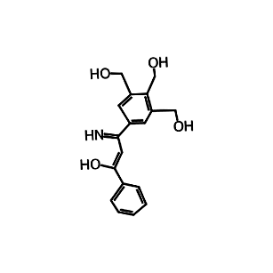 N=C(/C=C(\O)c1ccccc1)c1cc(CO)c(CO)c(CO)c1